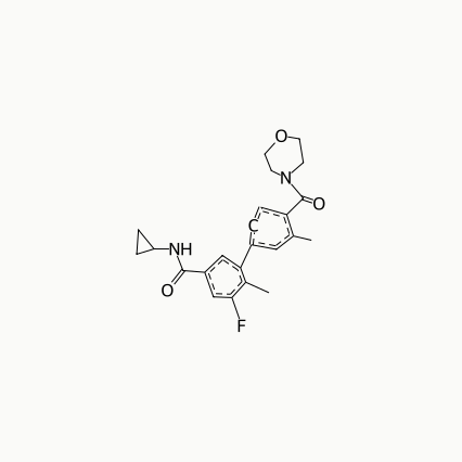 Cc1cc(-c2cc(C(=O)NC3CC3)cc(F)c2C)ccc1C(=O)N1CCOCC1